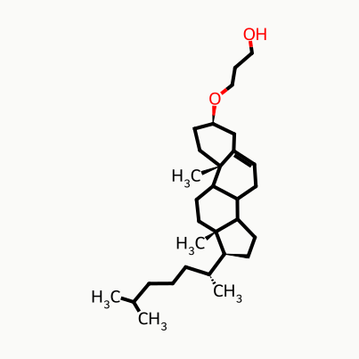 CC(C)CCC[C@@H](C)[C@@H]1CCC2C3CC=C4C[C@H](OCCCO)CC[C@@]4(C)C3CC[C@]21C